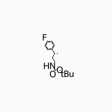 CC(C)(C)OC(=O)NCC[CH]c1ccc(F)cc1